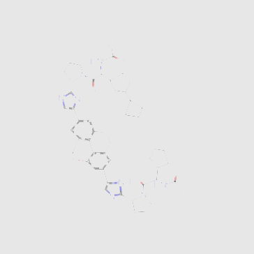 COC(=O)N[C@H](C(=O)N1CCC[C@H]1c1ncc(-c2cc3c4c(c2)OCc2cc(-c5cnc([C@@H]6CCCN6C(=O)[C@@H](NC(=O)OC)C6CCC(C7CCC7)C6)[nH]5)cc(c2-4)OC3)[nH]1)C1CCCC1